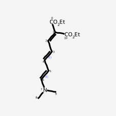 CCOC(=O)C(=C/C=C/C=C/N(C)C)C(=O)OCC